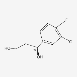 OCC[C@H](O)c1ccc(F)c(Cl)c1